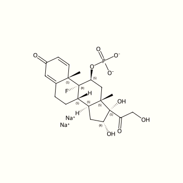 C[C@]12C=CC(=O)C=C1CC[C@H]1[C@@H]3C[C@@H](O)[C@](O)(C(=O)CO)[C@@]3(C)C[C@H](OP(=O)([O-])[O-])[C@@]12F.[Na+].[Na+]